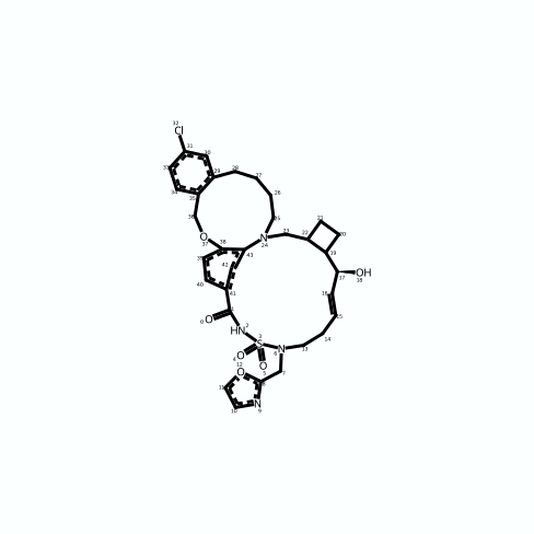 O=C1NS(=O)(=O)N(Cc2ncco2)CC/C=C/[C@H](O)C2CCC2CN2CCCCc3cc(Cl)ccc3COc3ccc1cc32